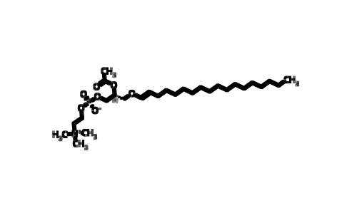 CCCCCCCCCCCCCCCCC=COC[C@H](COP(=O)([O-])OCC[N+](C)(C)C)OC(C)=O